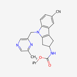 Cc1cncc(Cn2c3c(c4cc(C#N)ccc42)CC(NC(=O)OC(C)C)C3)n1